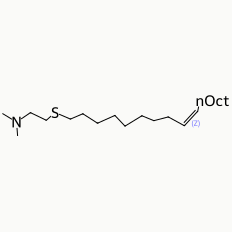 CCCCCCCC/C=C\CCCCCCCCSCCN(C)C